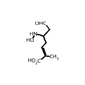 CC(=CCC(CC=O)NO)C(=O)O